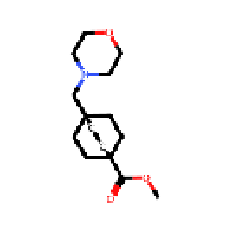 COC(=O)C12CCC(CN3CCOCC3)(CC1)CC2